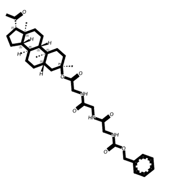 CC(=O)[C@H]1CC[C@H]2[C@@H]3CC[C@H]4C[C@](C)(OC(=O)CNC(=O)CNC(=O)CNC(=O)OCc5ccccc5)CC[C@]4(C)[C@H]3CC[C@]12C